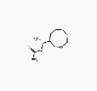 C[C@@H](OC(N)=O)C1CCCOCOC1